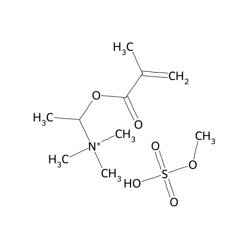 C=C(C)C(=O)OC(C)[N+](C)(C)C.COS(=O)(=O)O